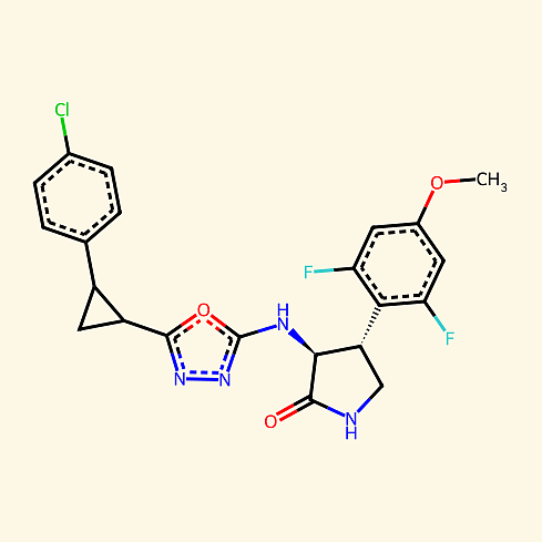 COc1cc(F)c([C@@H]2CNC(=O)[C@H]2Nc2nnc(C3CC3c3ccc(Cl)cc3)o2)c(F)c1